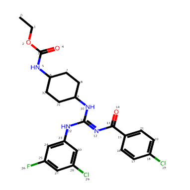 CCOC(=O)NC1CCC(N/C(=N\C(=O)c2ccc(Cl)cc2)Nc2cc(F)cc(Cl)c2)CC1